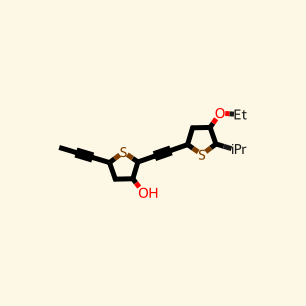 CC#CC1CC(O)C(C#CC2CC(OCC)C(C(C)C)S2)S1